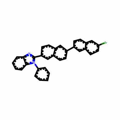 Brc1ccc2cc(-c3ccc4cc(-c5nc6ccccc6n5-c5ccccc5)ccc4c3)ccc2c1